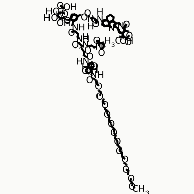 CC[C@@]1(O)C(=O)OCc2c1cc1n(c2=O)Cc2c-1nc1ccc(NC(=O)CNC(=O)OCc3ccc(O[C@@H]4O[C@H](C(=O)O)[C@@H](O)[C@H](O)[C@H]4O)c(CNC(=O)CCNC(=O)[C@H](CCCC(=O)N[C@H]4CO[C@H]5[C@@H]4OC[C@@H]5NC(=O)CCOCCOCCOCCOCCOCCOCCOCCOCCOCCOCCOCCOC)NC(=O)CCN4C(=O)C=CC4=O)c3)c3c1c2CCC3